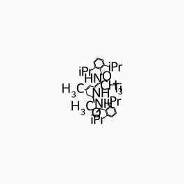 CC1=CC(=C(C)NC(=O)c2c(C(C)C)cccc2C(C)C)NC(=C(C)NC(=O)c2c(C(C)C)cccc2C(C)C)C1.[Ti]